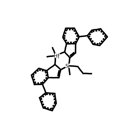 CCC[Si]1(C)C2=Cc3c(-c4ccccc4)cccc3[CH]2[Hf]([CH3])([CH3])[CH]2C1=Cc1c(-c3ccccc3)cccc12